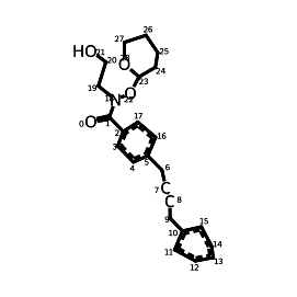 O=C(c1ccc(CCCCc2ccccc2)cc1)N(CCO)OC1CCCCO1